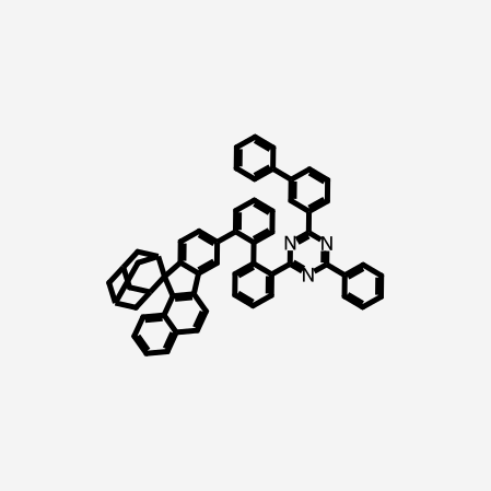 c1ccc(-c2cccc(-c3nc(-c4ccccc4)nc(-c4ccccc4-c4ccccc4-c4ccc5c(c4)-c4ccc6ccccc6c4C54C5CC6CC(C5)CC4C6)n3)c2)cc1